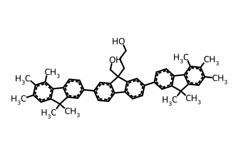 Cc1cc2c(c(C)c1C)-c1ccc(-c3ccc4c(c3)C(CO)(CCCO)c3cc(-c5ccc6c(c5)C(C)(C)c5cc(C)c(C)c(C)c5-6)ccc3-4)cc1C2(C)C